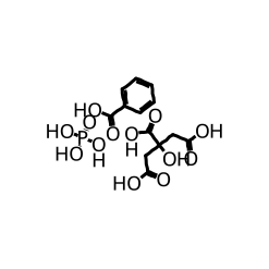 O=C(O)CC(O)(CC(=O)O)C(=O)O.O=C(O)c1ccccc1.O=P(O)(O)O